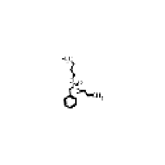 C=CCOP(=O)(Cc1ccccc1)OCCCC